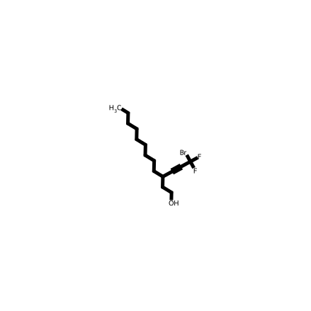 CCCCCCCCCC(C#CC(F)(F)Br)CCO